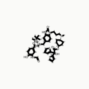 CN(CCCn1c(=O)[nH]c2cc(CNC[C@H](O[Si](C)(C)C(C)(C)C)c3ccc(O)c(NC=O)c3)ccc21)[C@H]1CC[C@H](OC(=O)C(O)(c2cccs2)c2cccs2)CC1